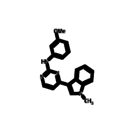 COc1cccc(Nc2nccc(-c3cn(C)c4ccccc34)n2)c1